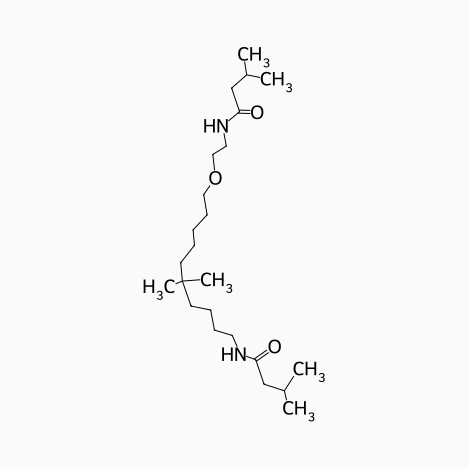 CC(C)CC(=O)NCCCCC(C)(C)CCCCCOCCNC(=O)CC(C)C